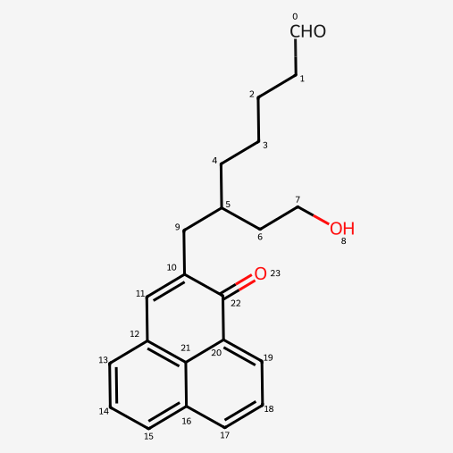 O=CCCCCC(CCO)CC1=Cc2cccc3cccc(c23)C1=O